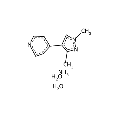 Cc1nn(C)cc1-c1ccncc1.N.O.O